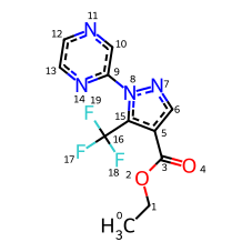 CCOC(=O)c1cnn(-c2cnccn2)c1C(F)(F)F